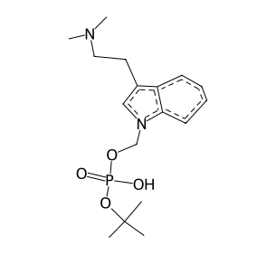 CN(C)CCc1cn(COP(=O)(O)OC(C)(C)C)c2ccccc12